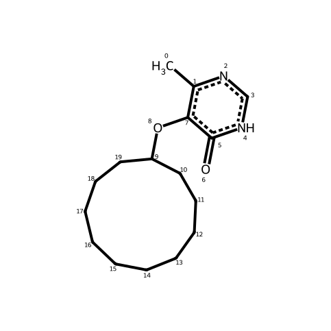 Cc1nc[nH]c(=O)c1OC1CCCCCCCCCC1